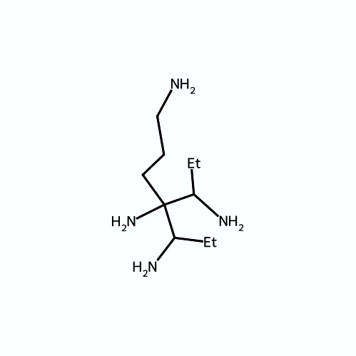 CCC(N)C(N)(CCCN)C(N)CC